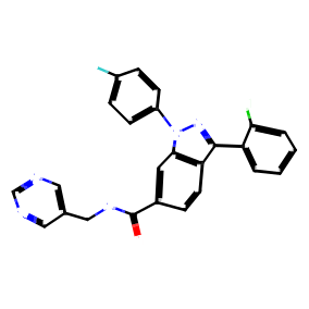 O=C(NCc1cncnc1)c1ccc2c(-c3ccccc3Cl)nn(-c3ccc(F)cc3)c2c1